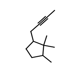 CC#CCC1CCC(C)C1(C)C